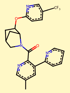 Cc1cnc(C(=O)N2CC3CC(Oc4ccc(C(F)(F)F)cn4)C2C3)c(-c2ccccn2)c1